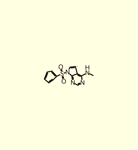 CNc1ncnc2c1[c]cn2S(=O)(=O)c1ccccc1